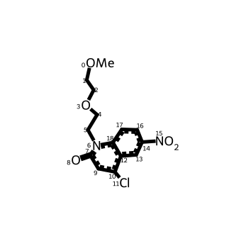 COCCOCCn1c(=O)cc(Cl)c2cc([N+](=O)[O-])ccc21